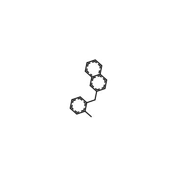 Cc1ccccc1Cc1ccc2ccccc2c1